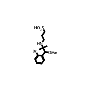 COC(c1ccccc1Br)C(C)(C)NCCCS(=O)(=O)O